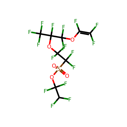 O=S(=O)(OC(F)(F)[C](F)F)C(F)(F)C(F)(F)OC(F)(C(F)(F)F)C(F)(F)OC(F)=C(F)F